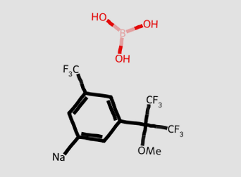 COC(c1c[c]([Na])cc(C(F)(F)F)c1)(C(F)(F)F)C(F)(F)F.OB(O)O